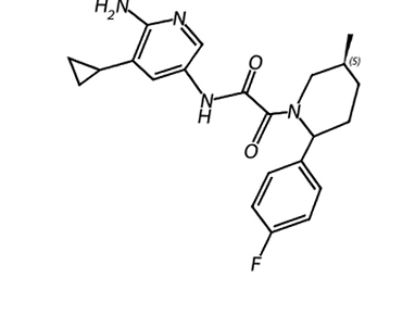 C[C@H]1CCC(c2ccc(F)cc2)N(C(=O)C(=O)Nc2cnc(N)c(C3CC3)c2)C1